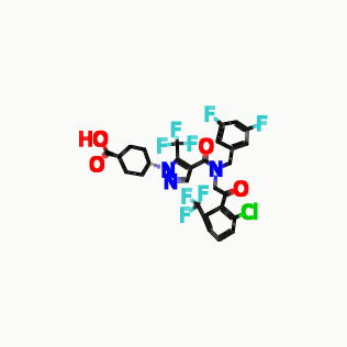 O=C(CN(Cc1cc(F)cc(F)c1)C(=O)c1cnn([C@H]2CC[C@H](C(=O)O)CC2)c1C(F)(F)F)c1c(Cl)cccc1C(F)(F)F